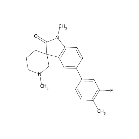 Cc1ccc(-c2ccc3c(c2)C2(CCCN(C)C2)C(=O)N3C)cc1F